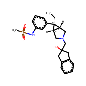 CC[C@]1(c2cccc(NS(C)(=O)=O)c2)[C@@H]2CN(CC3(O)Cc4ccccc4C3)C[C@@H]21